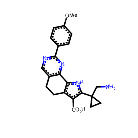 COc1ccc(-c2ncc3c(n2)-c2[nH]c(C4(CN)CC4)c(C(=O)O)c2CC3)cc1